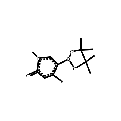 CCc1cc(=O)n(C)cc1B1OC(C)(C)C(C)(C)O1